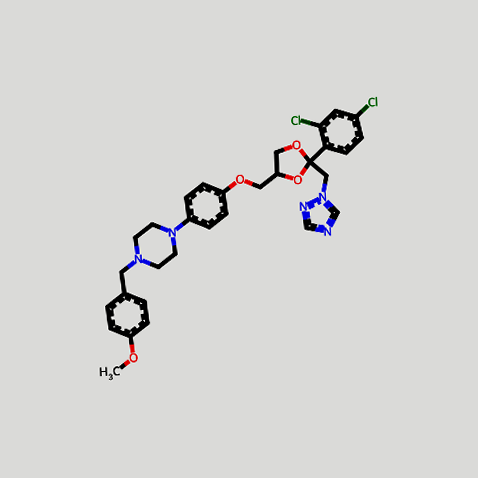 COc1ccc(CN2CCN(c3ccc(OCC4COC(Cn5cncn5)(c5ccc(Cl)cc5Cl)O4)cc3)CC2)cc1